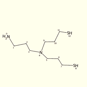 NCCCN(CCCS)CCCS